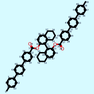 Cc1ccc(-c2ccc(-c3ccc(C(=O)Oc4ccc5c(c4-c4c(OC(=O)c6ccc(-c7ccc(-c8ccc(C)cc8)cc7)cc6)ccc6c4CCCC6)CCCC5)cc3)cc2)cc1